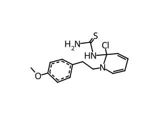 COc1ccc(CCN2C=CC=CC2(Cl)NC(N)=S)cc1